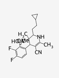 COc1c(C2C(C#N)=C(C)NC(CCC3CC3)C2(C)C(=O)O)ccc(F)c1F